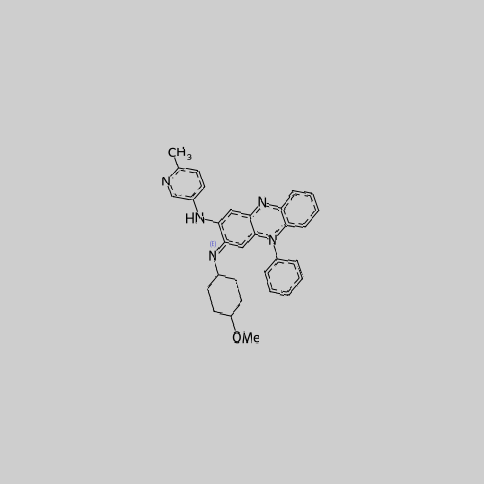 COC1CCC(/N=c2\cc3n(-c4ccccc4)c4ccccc4nc-3cc2Nc2ccc(C)nc2)CC1